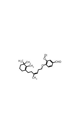 CCOc1cc(C=O)ccc1OCCC=C(C)CCC1=C(C)C(C)(C)CCC1